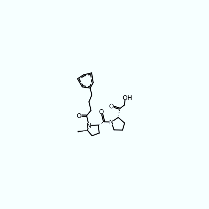 C[C@@H]1CC[C@@H](C(=O)N2CCC[C@H]2C(=O)CO)N1C(=O)CCCc1ccccc1